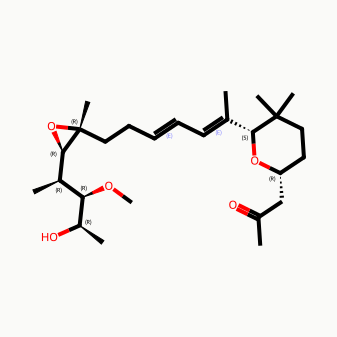 CO[C@H]([C@@H](C)[C@H]1O[C@]1(C)CC/C=C/C=C(\C)[C@H]1O[C@@H](CC(C)=O)CCC1(C)C)[C@@H](C)O